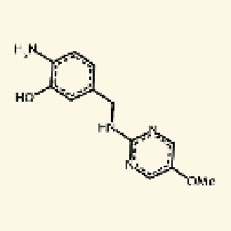 COc1cnc(NCc2ccc(N)c(O)c2)nc1